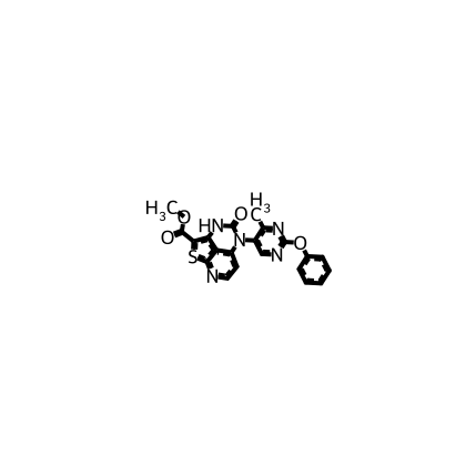 COC(=O)c1sc2nccc3c2c1NC(=O)N3c1cnc(Oc2ccccc2)nc1C